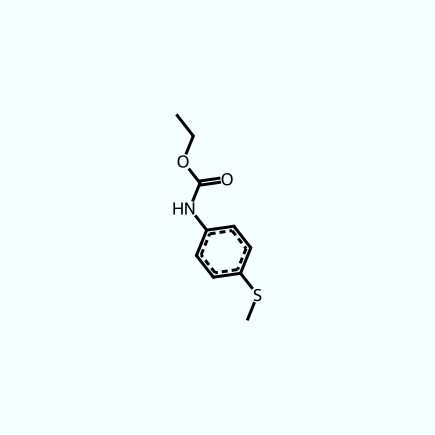 CCOC(=O)Nc1ccc(SC)cc1